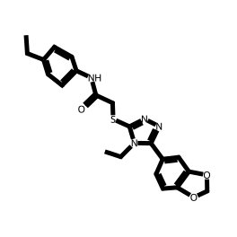 CCc1ccc(NC(=O)CSc2nnc(-c3ccc4c(c3)OCO4)n2CC)cc1